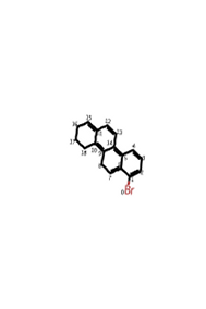 Brc1cccc2c1=CCc1c3c(ccc1=2)=CCCC3